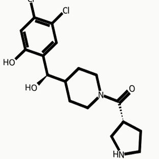 O=C([C@@H]1CCNC1)N1CCC([C@@H](O)c2cc(Cl)c(Cl)cc2O)CC1